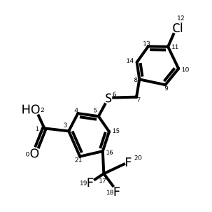 O=C(O)c1cc(SCc2ccc(Cl)cc2)cc(C(F)(F)F)c1